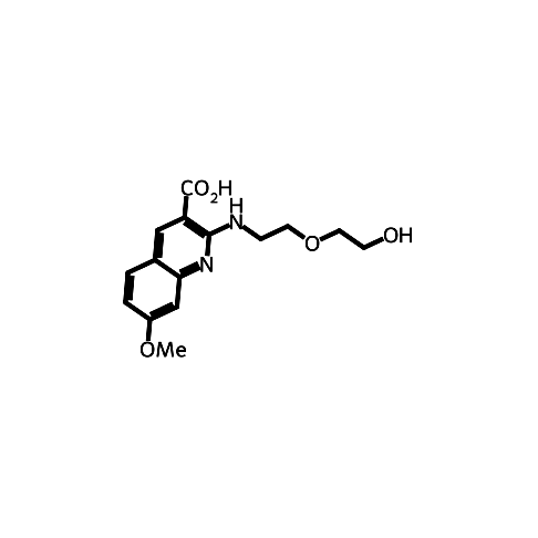 COc1ccc2cc(C(=O)O)c(NCCOCCO)nc2c1